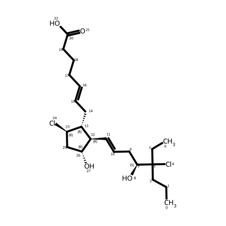 CCCC(Cl)(CC)[C@@H](O)CC=C[C@@H]1[C@@H](CC=CCCCC(=O)O)[C@H](Cl)C[C@H]1O